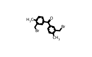 Cc1ccc(C(=O)c2ccc(C)c(CBr)c2)cc1CBr